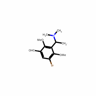 [CH2]C(c1c(OC)c(Br)cc(C=O)c1OC)N(C)C